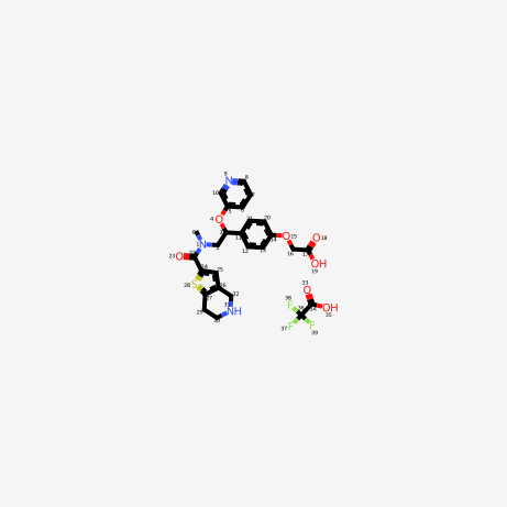 CN(CC(Oc1cccnc1)c1ccc(OCC(=O)O)cc1)C(=O)c1cc2c(s1)CCNC2.O=C(O)C(F)(F)F